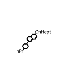 CCCCCCCOc1ccc2cc(C3=CCC(CCC)CC3)ccc2c1